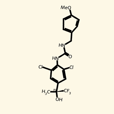 COc1ccc(CNC(=O)Nc2c(Cl)cc([C@@](C)(O)C(F)(F)F)cc2Cl)cc1